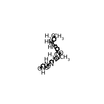 CC(C(=O)N(C)c1ccc2cc(-c3n[nH]c4c3CCC(C)(C)C4)[nH]c2c1)N1CCN(c2ccc(C(=O)NC3CCC(=O)NC3=O)nc2)CC1